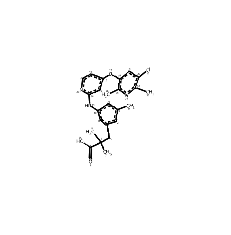 Cc1cc(CC(C)(C)C(=O)O)cc(Nc2cc(Oc3cc(Cl)c(C)nc3C)ccn2)c1